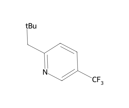 CC(C)(C)Cc1ccc(C(F)(F)F)cn1